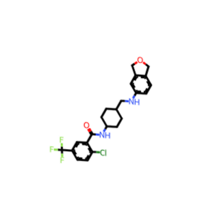 O=C(NC1CCC(CNc2ccc3c(c2)COC3)CC1)c1cc(C(F)(F)F)ccc1Cl